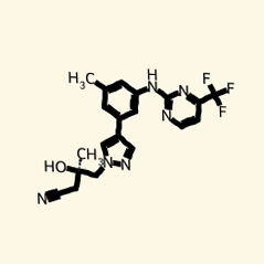 Cc1cc(Nc2nccc(C(F)(F)F)n2)cc(-c2cnn(C[C@](C)(O)CC#N)c2)c1